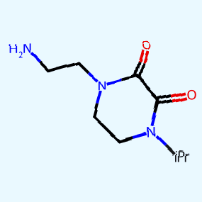 CC(C)N1CCN(CCN)C(=O)C1=O